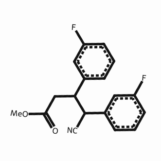 COC(=O)CC(c1cccc(F)c1)C(C#N)c1cccc(F)c1